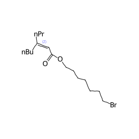 CCCC/C(=C\C(=O)OCCCCCCCBr)CCC